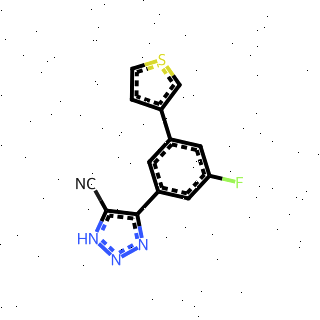 N#Cc1[nH]nnc1-c1cc(F)cc(-c2ccsc2)c1